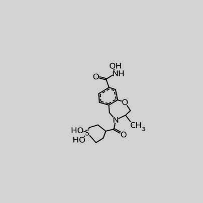 CC1COc2cc(C(=O)NO)ccc2CN1C(=O)C1CCS(O)(O)CC1